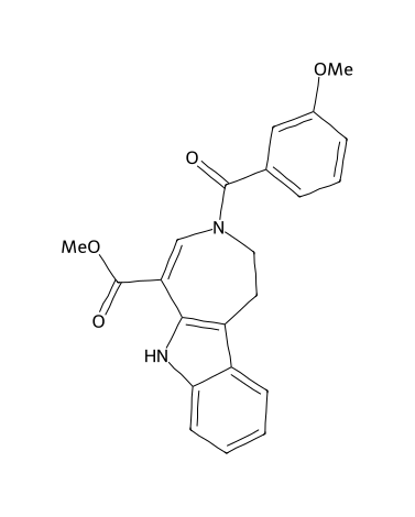 COC(=O)C1=CN(C(=O)c2cccc(OC)c2)CCc2c1[nH]c1ccccc21